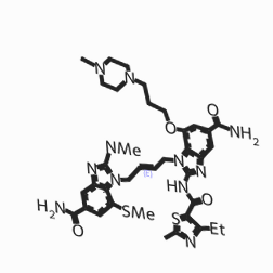 CCc1nc(C)sc1C(=O)Nc1nc2cc(C(N)=O)cc(OCCCN3CCN(C)CC3)c2n1C/C=C/Cn1c(NC)nc2cc(C(N)=O)cc(SC)c21